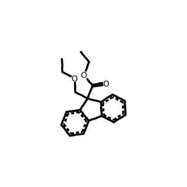 CCOCC1(C(=O)OCC)c2ccccc2-c2ccccc21